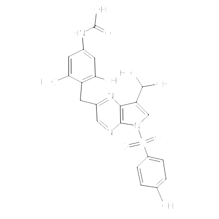 Cc1ccc(S(=O)(=O)n2cc(C(C)C)c3nc(Cc4c(C)cc(NC(=O)O)cc4C)cnc32)cc1